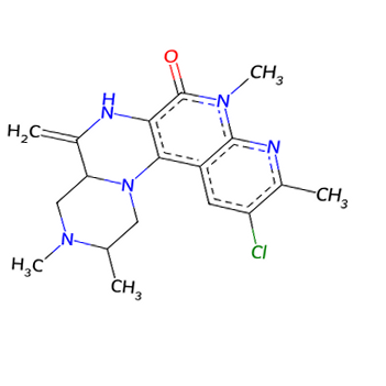 C=C1Nc2c(c3cc(Cl)c(C)nc3n(C)c2=O)N2CC(C)N(C)CC12